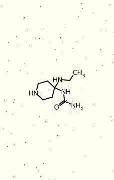 CCNC1(NC(N)=O)CCNCC1